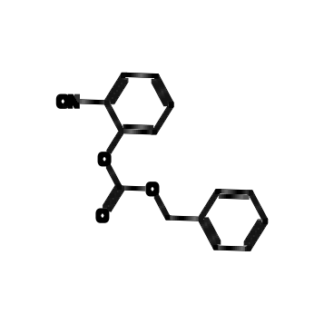 O=Nc1ccccc1OC(=O)OCc1ccccc1